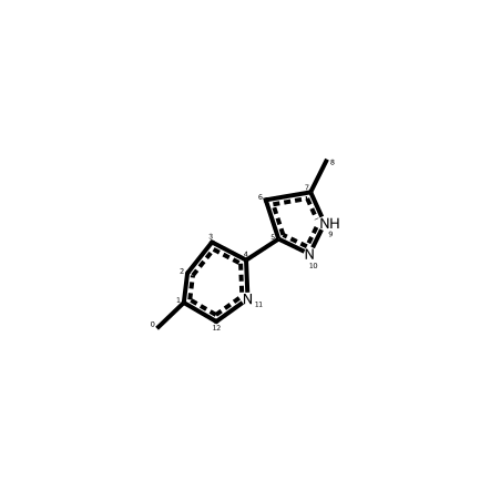 Cc1ccc(-c2cc(C)[nH]n2)nc1